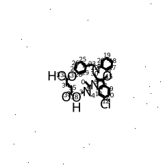 CC(N(C)C)n1c2c(c3ccc(Cl)cc31)Oc1ccccc1N(Cc1ccccc1)C2.O=C(O)C=CC(=O)O